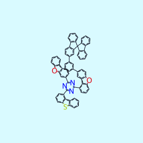 c1cc(-c2ccc3c(c2)C2(c4ccccc4-c4ccccc42)c2ccccc2-3)cc(-c2ccc3oc4cccc(-c5nc(-c6ccc7c(c6)oc6ccccc67)nc(-c6cccc7sc8ccccc8c67)n5)c4c3c2)c1